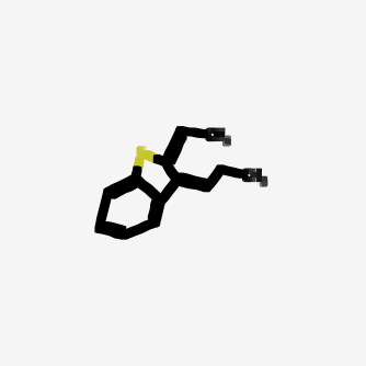 C/C=c1/sc2ccccc2/c1=C/CC